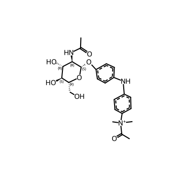 CC(=O)N[C@H]1[C@H](Oc2ccc(Nc3ccc([N+](C)(C)C(C)=O)cc3)cc2)O[C@H](CO)[C@@H](O)[C@@H]1O